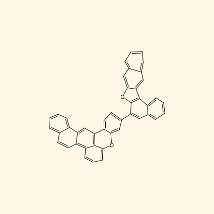 c1ccc2cc3c(cc2c1)oc1c(-c2ccc4c(c2)Oc2cccc5c2c-4cc2c4ccccc4ccc52)cc2ccccc2c13